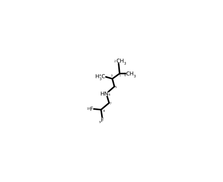 CC(C)C(C)CNCC(F)F